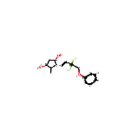 CC1[C@@H](/C=C/C(F)(F)COc2ccccc2)[C@H](O)C[C@@H]1O